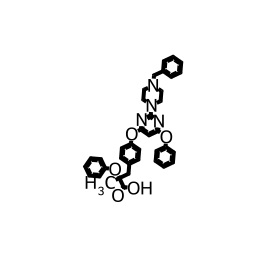 CC(Cc1ccc(Oc2cc(Oc3ccccc3)nc(N3CCN(Cc4ccccc4)CC3)n2)cc1)(Oc1ccccc1)C(=O)O